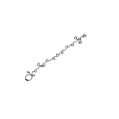 CC(C)CNC(=O)CCOCCOCCOCCOCCOCCOCCNC(=O)CCOCC1[C@H]2CCC#CCC[C@@H]12